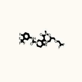 CN1OC(COCC(F)F)Cn2nc3c(c2C1=O)CN(C(=O)Nc1ccc(F)c(C(F)(F)F)c1)CC3